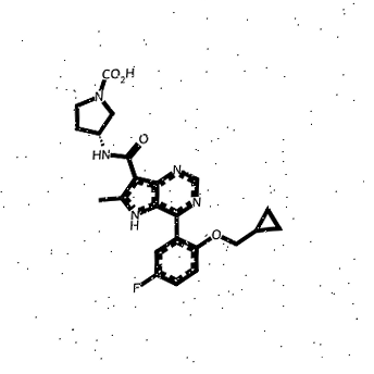 Cc1[nH]c2c(-c3cc(F)ccc3OCC3CC3)ncnc2c1C(=O)N[C@@H]1CCN(C(=O)O)C1